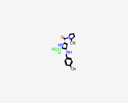 Cl.Cl.N#Cc1ccc(CN[C@@H]2CN[C@H](C(=O)N3CCCC3C#N)C2)cc1